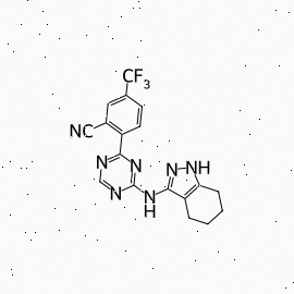 N#Cc1cc(C(F)(F)F)ccc1-c1ncnc(Nc2n[nH]c3c2CCCC3)n1